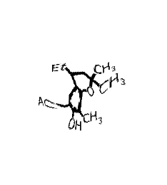 CCC1CC(C)(C)Oc2c1cc(C(C)=O)c(O)c2C